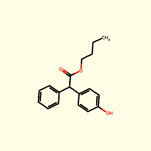 CCCCOC(=O)C(c1ccccc1)c1ccc(O)cc1